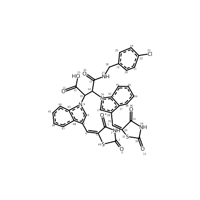 O=C1NC(=O)C(=Cc2cn(C(C(=O)O)C(C(=O)NCc3ccc(Cl)cc3)n3cc(C=C4SC(=O)NC4=O)c4ccccc43)c3ccccc23)S1